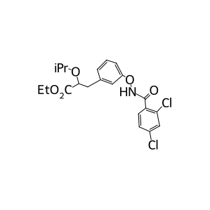 CCOC(=O)C(Cc1cccc(ONC(=O)c2ccc(Cl)cc2Cl)c1)OC(C)C